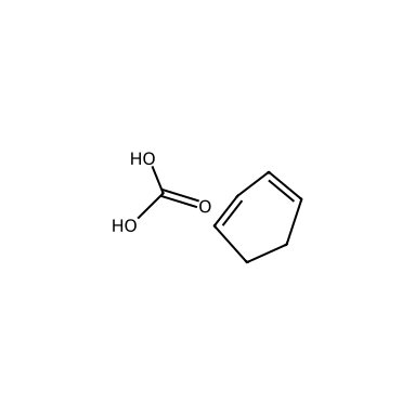 C1=CCCC=C1.O=C(O)O